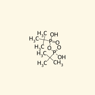 CC(C)(C)P(=O)(O)OP(=O)(O)C(C)(C)C